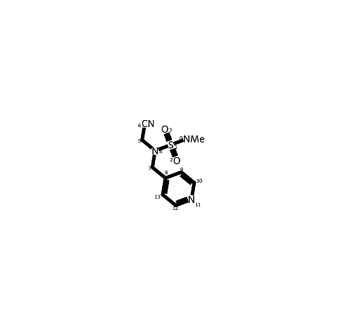 CNS(=O)(=O)N(CC#N)Cc1ccncc1